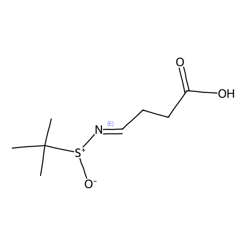 CC(C)(C)[S+]([O-])/N=C/CCC(=O)O